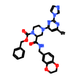 CC(C)c1cc(N2CCN(C(=O)OCc3ccccc3)C(C(=O)NCc3ccc4c(c3)OCCO4)C2)nc(-n2ccnc2)n1